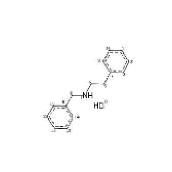 Cl.c1ccc(CCNCc2ccccc2)cc1